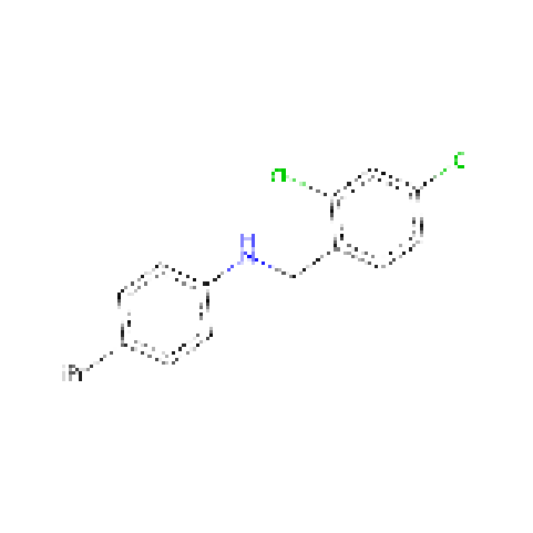 CC(C)c1ccc(NCc2ccc(Cl)cc2Cl)cc1